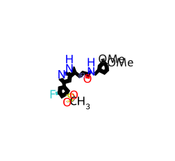 COc1ccc(CNC(=O)/C=C/c2c[nH]c3ncc(-c4cc(F)cc(S(C)(=O)=O)c4)cc23)cc1OC